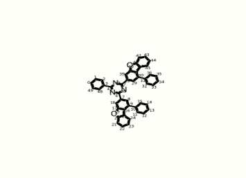 c1ccc(-c2nc(-c3cc(-c4ccccc4)c4c(c3)oc3ccccc34)nc(-c3cc(-c4ccccc4)c4c(c3)oc3ccccc34)n2)cc1